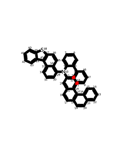 c1ccc(-c2ccccc2N(c2ccc3c(ccc4ccc5ccccc5c43)c2)c2cccc3c2ccc2sc4ccccc4c23)cc1